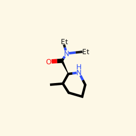 CCN(CC)C(=O)[C@H]1NCCCC1C